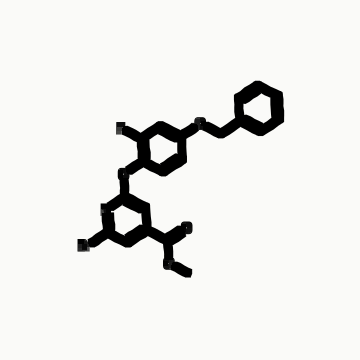 COC(=O)c1cc(Br)nc(Oc2ccc(OCc3ccccc3)cc2F)c1